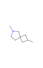 CC1CC2(CCN(I)C2)C1